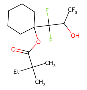 CCC(C)(C)C(=O)OC1(C(F)(F)C(O)C(F)(F)F)CCCCC1